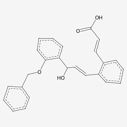 O=C(O)C=Cc1ccccc1C=CC(O)c1ccccc1OCc1ccccc1